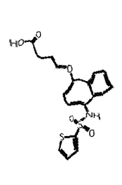 O=C(O)CCCOc1ccc(NS(=O)(=O)c2cccs2)c2ccccc12